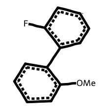 COc1ccccc1-c1cc[c]cc1F